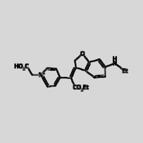 CCNc1ccc2c(c1)OC/C2=C(/C(=O)OCC)c1cc[n+](CC(=O)O)cc1